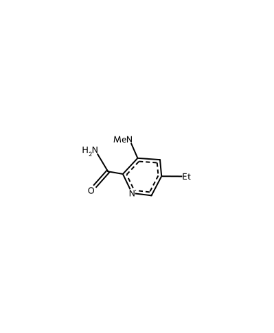 CCc1cnc(C(N)=O)c(NC)c1